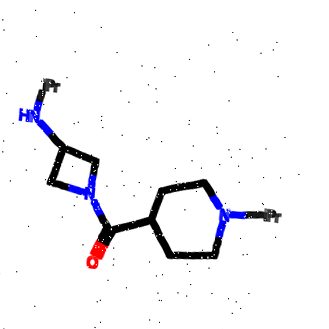 CC(C)NC1CN(C(=O)C2CCN(C(C)C)CC2)C1